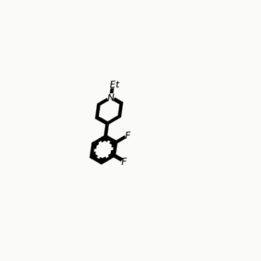 CCN1CCC(c2cccc(F)c2F)CC1